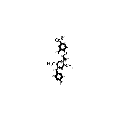 C[C@@H]1CN(C(=O)COc2ccc([N+](=O)[O-])cc2Cl)[C@@H](C)CN1Cc1ccc(F)cc1